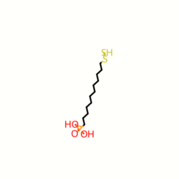 O=P(O)(O)CCCCCCCCCCCCSS